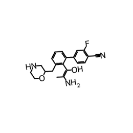 C/C(N)=C(/O)c1c(CC2CNCCO2)cccc1-c1ccc(C#N)c(F)c1